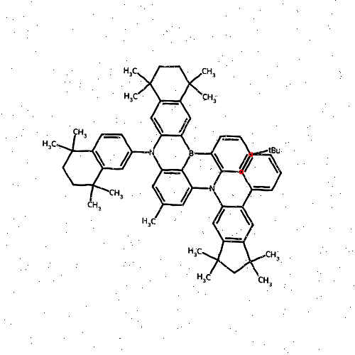 Cc1cc2c3c(c1)N(c1cc4c(cc1-c1ccccc1)C(C)(C)CC4(C)C)c1cc(C(C)(C)C)ccc1B3c1cc3c(cc1N2c1ccc2c(c1)C(C)(C)CCC2(C)C)C(C)(C)CCC3(C)C